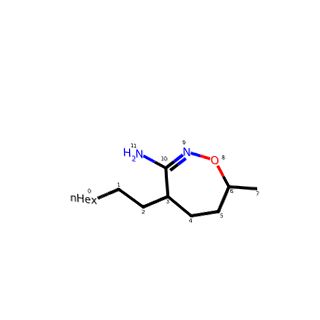 CCCCCCCCC1CCC(C)ON=C1N